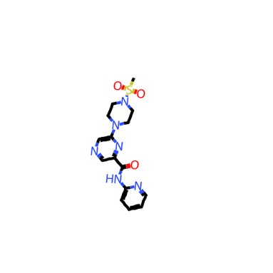 CS(=O)(=O)N1CCN(c2cncc(C(=O)Nc3ccccn3)n2)CC1